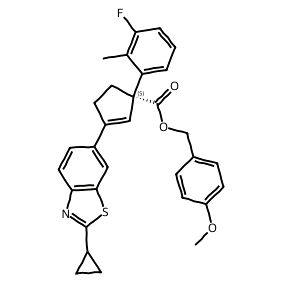 COc1ccc(COC(=O)[C@]2(c3cccc(F)c3C)C=C(c3ccc4nc(C5CC5)sc4c3)CC2)cc1